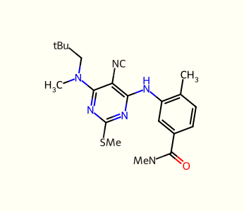 [C-]#[N+]c1c(Nc2cc(C(=O)NC)ccc2C)nc(SC)nc1N(C)CC(C)(C)C